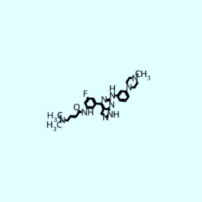 CN(C)C/C=C/C(=O)Nc1cc(F)cc(-c2nc(Nc3cccc(N4CCN(C)CC4)c3)nc3[nH]ncc23)c1